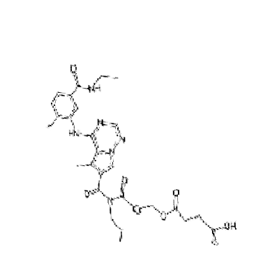 CCCN(C(=O)OCOC(=O)CCC(=O)O)C(=O)c1cn2ncnc(Nc3cc(C(=O)NCC)ccc3C)c2c1C